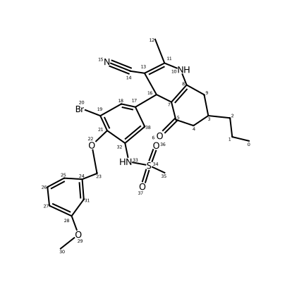 CCCC1CC(=O)C2=C(C1)NC(C)=C(C#N)C2c1cc(Br)c(OCc2cccc(OC)c2)c(NS(C)(=O)=O)c1